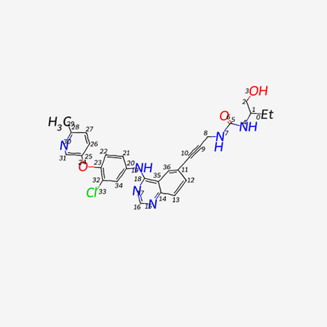 CCC(CO)NC(=O)NCC#Cc1ccc2ncnc(Nc3ccc(Oc4ccc(C)nc4)c(Cl)c3)c2c1